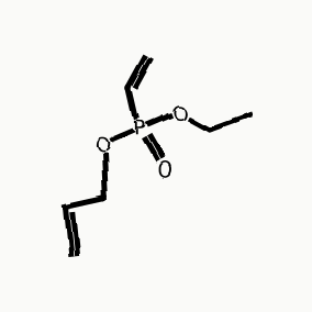 C=CCOP(=O)(C=C)OCC